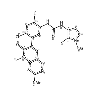 CNc1cc2c(cn1)cc(-c1cc(NC(=O)Nc3ccn(C(C)(C)C)c3C)c(F)cc1Cl)c(=O)n2C